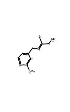 COc1cccc(CC=C(F)CN)c1